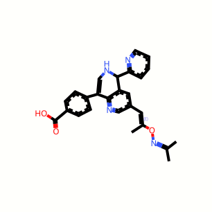 CC(C)=NO/C(C)=C/c1cnc2c(c1)C(c1ccccn1)NC=C2c1ccc(C(=O)O)cc1